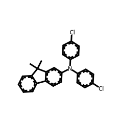 CC1(C)c2ccccc2-c2ccc(N(c3ccc(Cl)cc3)c3ccc(Cl)cc3)cc21